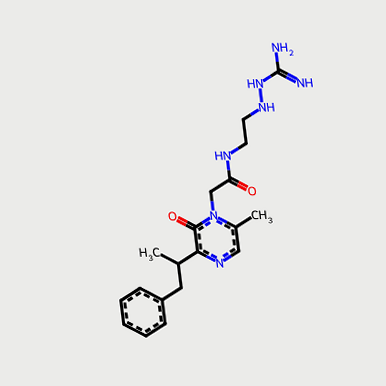 Cc1cnc(C(C)Cc2ccccc2)c(=O)n1CC(=O)NCCNNC(=N)N